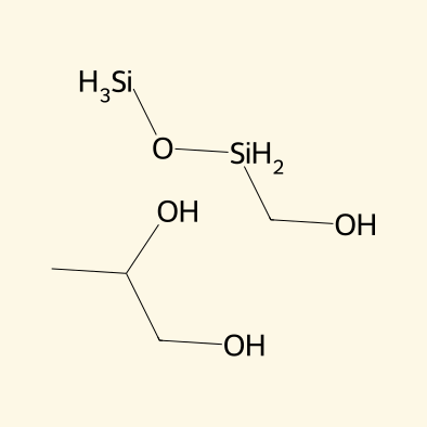 CC(O)CO.OC[SiH2]O[SiH3]